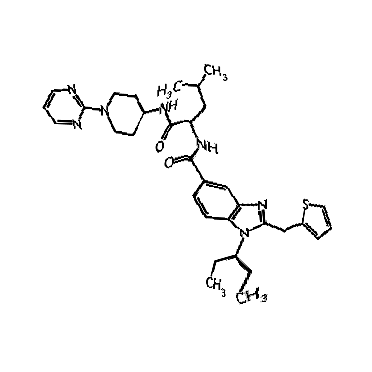 CCC(CC)n1c(Cc2cccs2)nc2cc(C(=O)NC(CC(C)C)C(=O)NC3CCN(c4ncccn4)CC3)ccc21